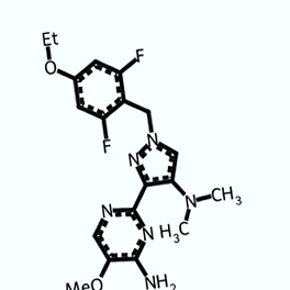 CCOc1cc(F)c(Cn2cc(N(C)C)c(-c3ncc(OC)c(N)n3)n2)c(F)c1